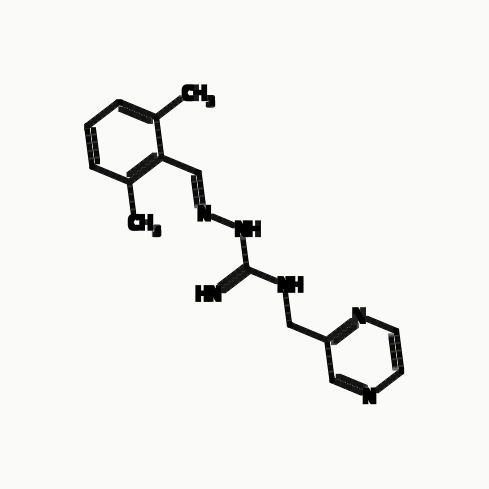 Cc1cccc(C)c1/C=N/NC(=N)NCc1cnccn1